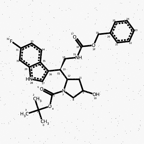 CC(C)(C)OC(=O)N1CC(O)CC1[C@H](CNC(=O)OCc1ccccc1)c1c[nH]c2cc(F)ccc12